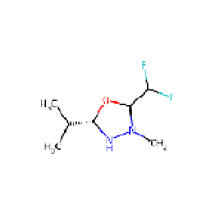 CC(C)[C@H]1NN(C)C(C(F)F)O1